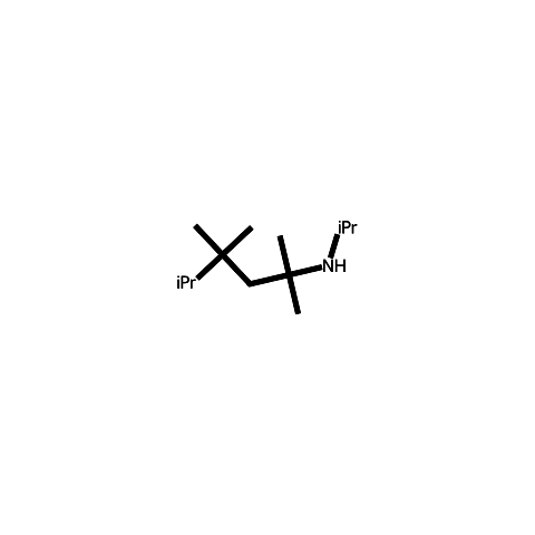 CC(C)NC(C)(C)CC(C)(C)C(C)C